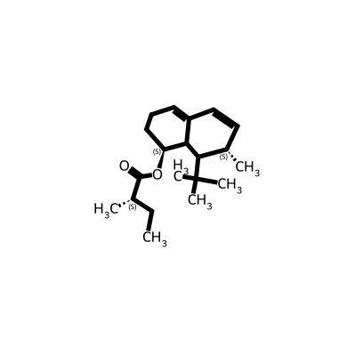 CC[C@H](C)C(=O)O[C@H]1CCC=C2C=C[C@H](C)C(C(C)(C)C)C21